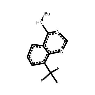 CC[C@H](C)Nc1ncnc2c(C(C)(F)F)cccc12